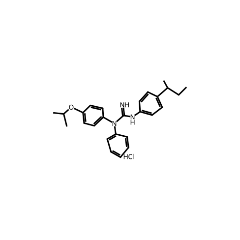 CCC(C)c1ccc(NC(=N)N(c2ccccc2)c2ccc(OC(C)C)cc2)cc1.Cl